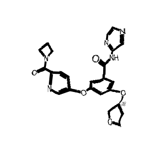 O=C(Nc1cnccn1)c1cc(Oc2ccc(C(=O)N3CCC3)nc2)cc(O[C@H]2CCOC2)c1